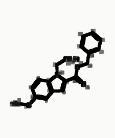 CCCCOc1ccc2c(c1)cc(C(=O)OCc1ccccc1)n2CC(=O)OCC